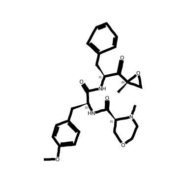 COc1ccc(C[C@H](NC(=O)[C@@H]2COCCN2C)C(=O)N[C@@H](Cc2ccccc2)C(=O)[C@@]2(C)CO2)cc1